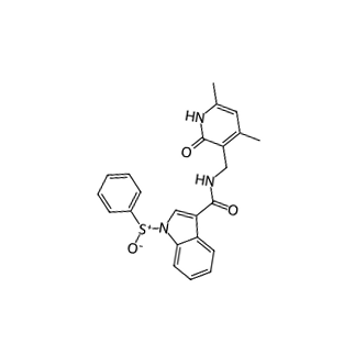 Cc1cc(C)c(CNC(=O)c2cn([S+]([O-])c3ccccc3)c3ccccc23)c(=O)[nH]1